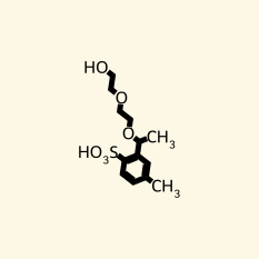 Cc1ccc(S(=O)(=O)O)c(C(C)OCCOCCO)c1